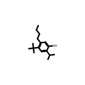 CCCCc1cc(O)c(C(C)C)cc1C(C)(C)C